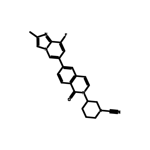 Cc1cn2cc(-c3ccc4c(=O)n(C5CCCB(C#N)C5)ccc4c3)cc(F)c2n1